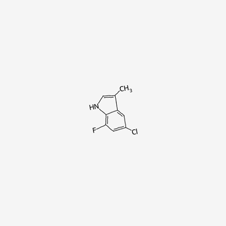 Cc1c[nH]c2c(F)cc(Cl)cc12